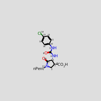 CCCCCN1C[C@H](C(=O)O)[C@@H](NC(=O)Nc2ccc(Cl)cc2)C1=O